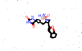 NS(=O)(=O)N1CC(c2cc3ccccc3o2)C1CC1CCC2(C1)NC(=O)NC2=O